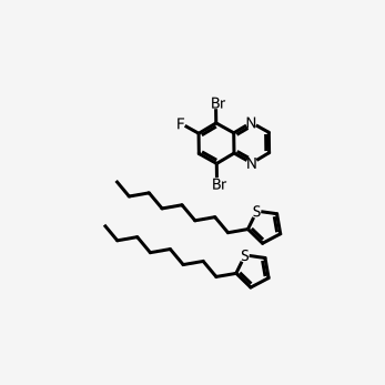 CCCCCCCCc1cccs1.CCCCCCCCc1cccs1.Fc1cc(Br)c2nccnc2c1Br